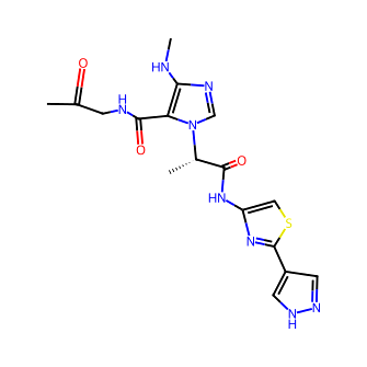 CNc1ncn([C@@H](C)C(=O)Nc2csc(-c3cn[nH]c3)n2)c1C(=O)NCC(C)=O